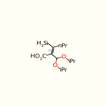 CCC/C([SiH3])=C(/C(=O)O)C(OC(C)C)OC(C)C